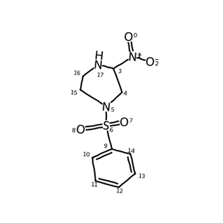 O=[N+]([O-])C1CN(S(=O)(=O)c2ccccc2)CCN1